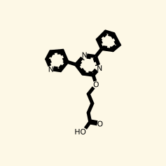 O=C(O)CCCOc1cc(-c2cccnc2)nc(-c2ccccc2)n1